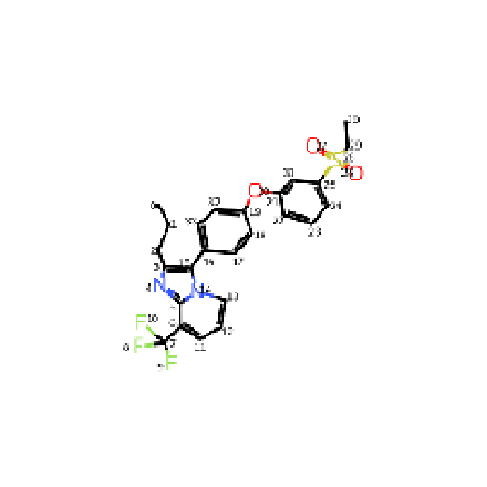 CCCc1nc2c(C(F)(F)F)cccn2c1-c1ccc(Oc2cccc(S(=O)(=O)CC)c2)cc1